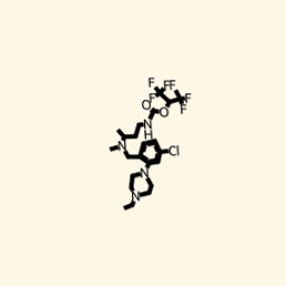 CCN1CCN(c2cc(Cl)ccc2CN(C)C(C)CCNC(=O)OC(C(F)(F)F)C(F)(F)F)CC1